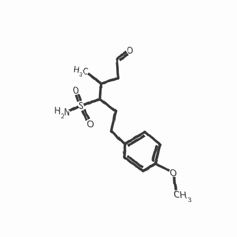 COc1ccc(CCC(C(C)CC=O)S(N)(=O)=O)cc1